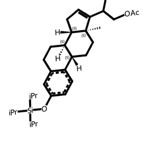 CC(=O)OCC(C)C1=CC[C@H]2[C@@H]3CCc4cc(O[Si](C(C)C)(C(C)C)C(C)C)ccc4[C@H]3CC[C@]12C